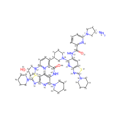 N[C@H]1CCN(c2cccc(C(=O)Nc3cc4sc(N5CCCCC5)nc4nc3N3CCCC(c4ccc(N5CC[C@H](O)C5)nc4C(=O)Nc4cc5sc(N6CCCCC6)nc5nc4N4CCCCC4)C3)n2)C1